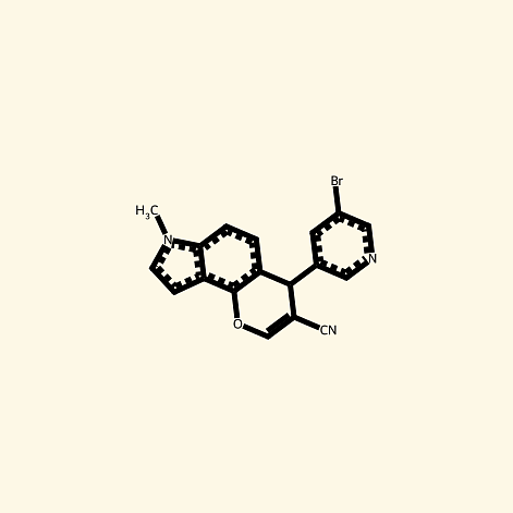 Cn1ccc2c3c(ccc21)C(c1cncc(Br)c1)C(C#N)=CO3